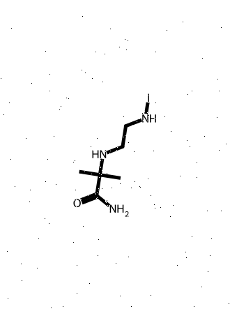 CC(C)(NCCNI)C(N)=O